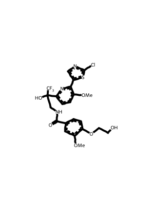 COc1cc(C(=O)NCC(O)(c2ccc(OC)c(-c3cnc(Cl)s3)n2)C(F)(F)F)ccc1OCCO